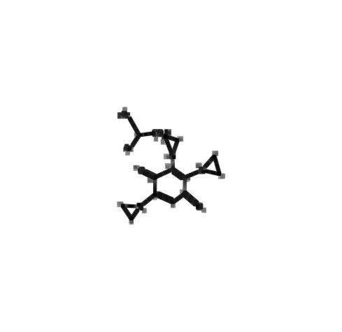 CCCC(C(C)=O)C(=O)O.O=C1C=C(N2CC2)C(=O)C(N2CC2)=C1N1CC1